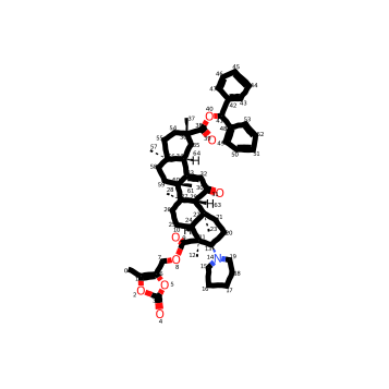 Cc1oc(=O)oc1COC(=O)[C@]1(C)[C@@H](N2CCCCC2)CC[C@@]2(C)[C@H]1CC[C@]1(C)[C@@H]2C(=O)C=C2[C@@H]3C[C@@](C)(C(=O)OC(c4ccccc4)c4ccccc4)CC[C@]3(C)CC[C@]21C